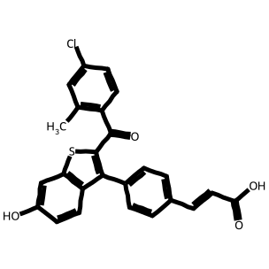 Cc1cc(Cl)ccc1C(=O)c1sc2cc(O)ccc2c1-c1ccc(/C=C/C(=O)O)cc1